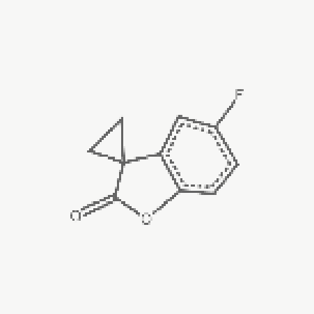 O=C1Oc2ccc(F)cc2C12CC2